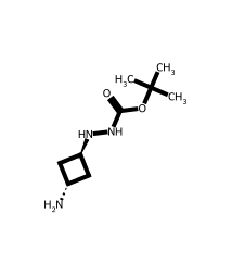 CC(C)(C)OC(=O)NN[C@H]1C[C@H](N)C1